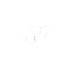 C=Cc1c(-c2nnnn2C)cccc1[N+](=O)[O-]